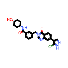 O=C(N[C@H]1CC[C@@H](O)CC1)c1cccc(Cn2cnc3cc(-c4cn[nH]c4Cl)ccc3c2=O)c1